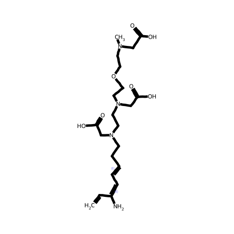 C=C/C(N)=C\C=C\CCN(CCN(CCOCCN(C)CC(=O)O)CC(=O)O)CC(=O)O